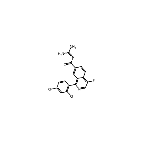 NC(N)=NC(=O)c1ccc2c(F)cnc(-c3ccc(Cl)cc3Cl)c2c1